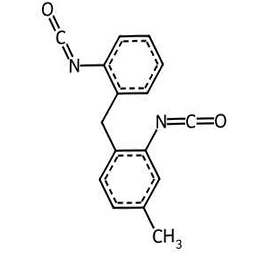 Cc1ccc(Cc2ccccc2N=C=O)c(N=C=O)c1